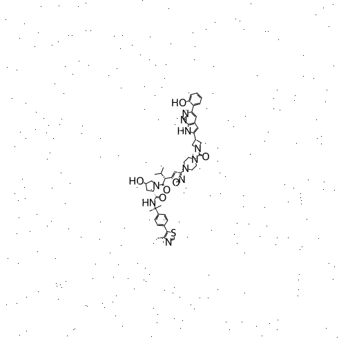 Cc1ncsc1-c1ccc(C(C)(C)NC(=O)[C@@H]2C[C@@H](O)CN2C(=O)C(c2cc(N3CCN(C(=O)N4CC(c5cc6cc(-c7ccccc7O)nnc6[nH]5)C4)CC3)no2)C(C)C)cc1